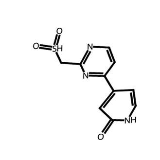 O=c1cc(-c2ccnc(C[SH](=O)=O)n2)cc[nH]1